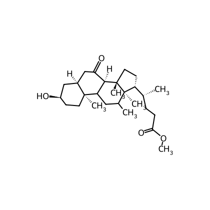 COC(=O)CC[C@@H](C)[C@H]1CC[C@@]2(C)[C@@H]3C(=O)C[C@@H]4C[C@H](O)CC[C@]4(C)C3CC(C)[C@]12C